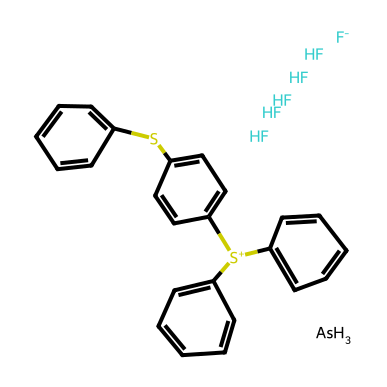 F.F.F.F.F.[AsH3].[F-].c1ccc(Sc2ccc([S+](c3ccccc3)c3ccccc3)cc2)cc1